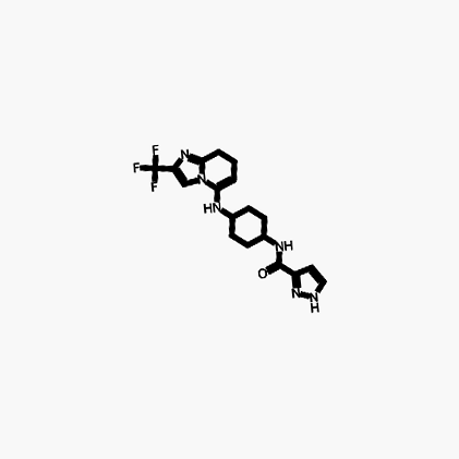 O=C(NC1CCC(NC2=CCCc3nc(C(F)(F)F)cn32)CC1)c1cc[nH]n1